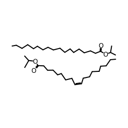 CCCCCCCC/C=C\CCCCCCCC(=O)OC(C)C.CCCCCCCCCCCCCCCCCC(=O)OC(C)C